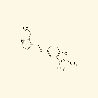 Cc1oc2ccc(OCc3ccnn3CC(F)(F)F)cc2c1C(=O)O